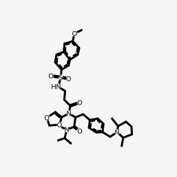 COc1ccc2cc(S(=O)(=O)NCCC(=O)N(C3=COCO3)C(Cc3ccc(CN4C(C)CCCC4C)cc3)C(=O)N(C)C(C)C)ccc2c1